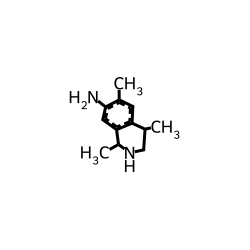 Cc1cc2c(cc1N)C(C)NCC2C